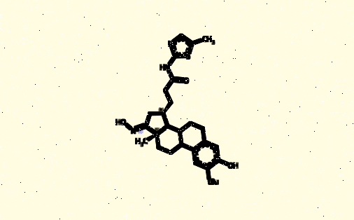 Cc1cnc(NC(=O)CC[C@@H]2C/C(=N\O)[C@@]3(C)CCC4c5cc(C(C)(C)C)c(O)cc5CCC4C23)s1